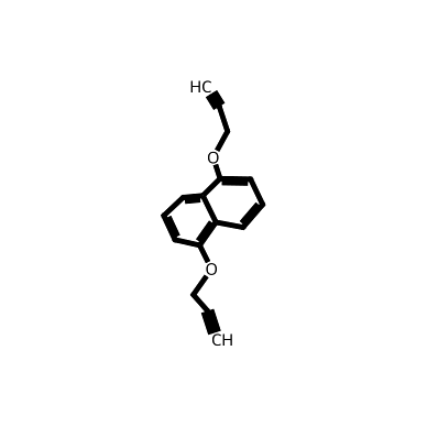 C#CCOc1cccc2c(OCC#C)cccc12